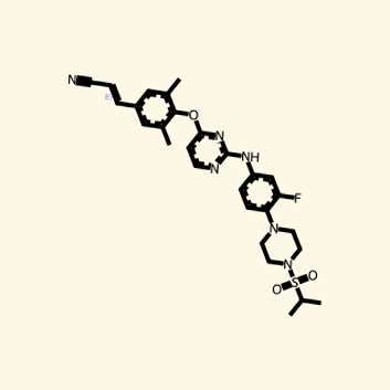 Cc1cc(/C=C/C#N)cc(C)c1Oc1ccnc(Nc2ccc(N3CCN(S(=O)(=O)C(C)C)CC3)c(F)c2)n1